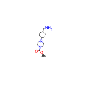 CC(C)(C)OC(=O)N1CCN(C2CCC(CN)CC2)CC1